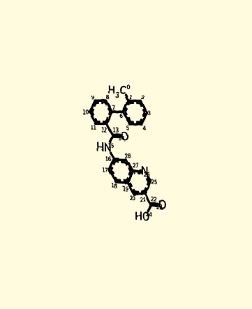 Cc1ccccc1-c1ccccc1C(=O)Nc1ccc2cc(C(=O)O)cnc2c1